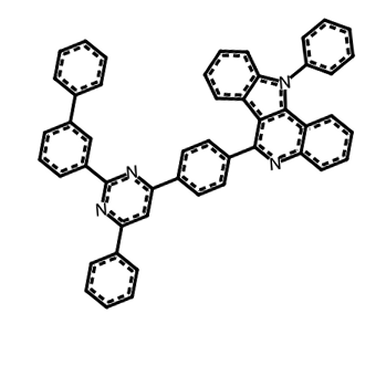 c1ccc(-c2cccc(-c3nc(-c4ccccc4)cc(-c4ccc(-c5nc6ccccc6c6c5c5ccccc5n6-c5ccccc5)cc4)n3)c2)cc1